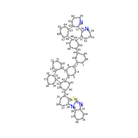 c1cc(-c2ccc3c(c2)-c2ccccc2-c2ccccc2-c2cc(-c4cccc5c4sc4nc6ccccc6n45)ccc2-3)cc(-c2ccc3c(c2)-c2cccnc2-c2ncccc2-c2ccccc2-3)c1